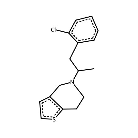 CC(Cc1ccccc1Cl)N1CCc2sccc2C1